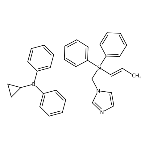 CC=C[Si](Cn1ccnc1)(c1ccccc1)c1ccccc1.c1ccc(B(c2ccccc2)C2CC2)cc1